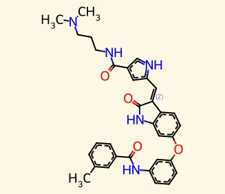 Cc1cccc(C(=O)Nc2cccc(Oc3ccc4c(c3)NC(=O)/C4=C\c3cc(C(=O)NCCCN(C)C)c[nH]3)c2)c1